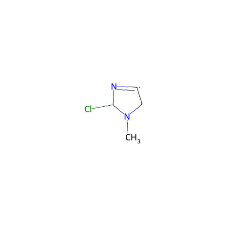 CN1C[C]=NC1Cl